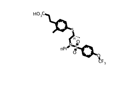 CCCN(C[C@@H](C)Sc1ccc(CCC(=O)O)c(C)c1)S(=O)(=O)c1ccc(OC(F)(F)F)cc1